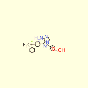 Nc1nccn2c(C34CCC(CO)(CC3)OC4)nc(-c3ccc(C(F)(c4ccccc4)C(F)(F)F)cc3)c12